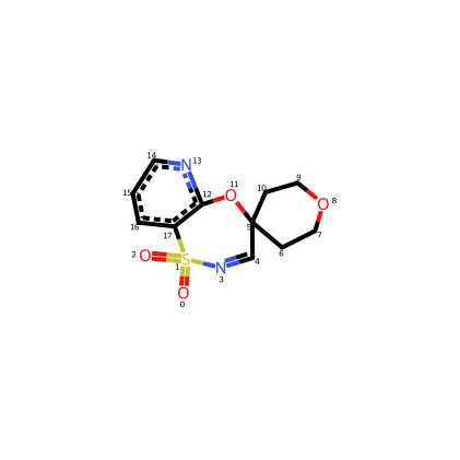 O=S1(=O)N=CC2(CCOCC2)Oc2ncccc21